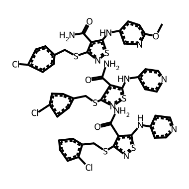 COc1ccc(Nc2snc(SCc3ccc(Cl)cc3)c2C(N)=O)cn1.NC(=O)c1c(SCc2ccc(Cl)cc2)nsc1Nc1ccncc1.NC(=O)c1c(SCc2ccccc2Cl)nsc1Nc1ccncc1